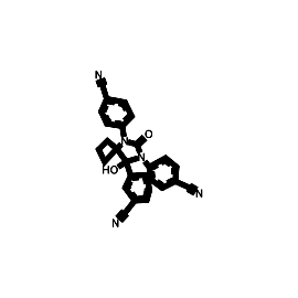 N#Cc1ccc(N2C(=O)N(c3ccc(C#N)cc3)C(O)(c3cccc(C#N)c3)C23CCC3)cc1